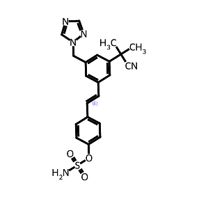 CC(C)(C#N)c1cc(/C=C/c2ccc(OS(N)(=O)=O)cc2)cc(Cn2cncn2)c1